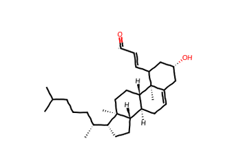 CC(C)CCC[C@@H](C)[C@H]1CC[C@H]2[C@@H]3CC=C4C[C@@H](O)CC(C=C[C]=O)[C@]4(C)[C@H]3CC[C@]12C